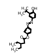 C=CC(CC)CC(=O)Oc1ccc(N=Nc2ccc(O)c(C(C)C)c2)cc1